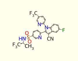 C[C@H](NS(=O)(=O)c1ccc(-c2c(C#N)c3cc(F)ccc3n2-c2ccc(C(F)(F)F)cn2)nc1)C(F)(F)F